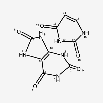 O=c1[nH]c(=O)c2[nH]c(=O)[nH]c2[nH]1.O=c1cc[nH]c(=O)[nH]1